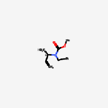 C=C[C@@H](C(=O)O)N(CC(C)C)C(=O)OC(C)(C)C